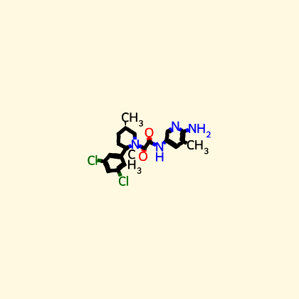 Cc1cc(NC(=O)C(=O)N2C[C@@H](C)CC[C@@]2(C)c2cc(Cl)cc(Cl)c2)cnc1N